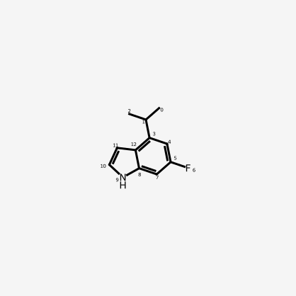 CC(C)c1cc(F)cc2[nH]ccc12